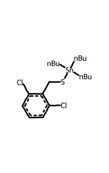 CCC[CH2][Sn]([CH2]CCC)([CH2]CCC)[S]Cc1c(Cl)cccc1Cl